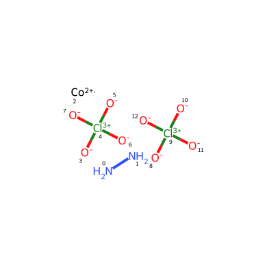 NN.[Co+2].[O-][Cl+3]([O-])([O-])[O-].[O-][Cl+3]([O-])([O-])[O-]